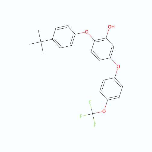 CC(C)(C)c1ccc(Oc2ccc(Oc3ccc(OC(F)(F)F)cc3)cc2O)cc1